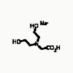 O=C(O)CN(CCO)CCO.[Na]